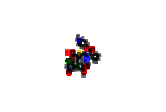 CCN1CCC(COC(=O)C(NCc2cc([C@@H](Cc3c(Cl)c[n+]([O-])cc3Cl)c3ccc(OC)c(OC)c3)c(C(=O)O)s2)c2ccccc2)CC1